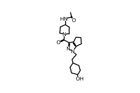 CC(=O)NC1CCN(C(=O)c2nn(CCC3CCC(O)CC3)c3c2CCC3)CC1